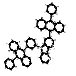 c1ccc(-c2c3ccccc3c(-c3cccc(-n4c5cccnc5c5ncc(-c6c7ccccc7c(-c7ccccc7)c7ccccc67)cc54)c3)c3ccccc23)cc1